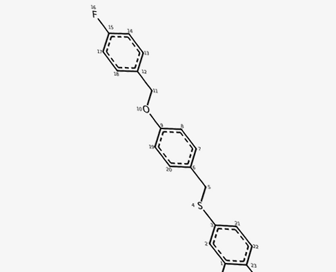 Cc1cc(SCc2ccc(OCc3ccc(F)cc3)cc2)ccc1O